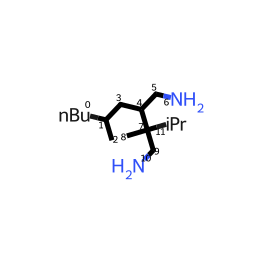 CCCCC(C)CC(CN)C(C)(CN)C(C)C